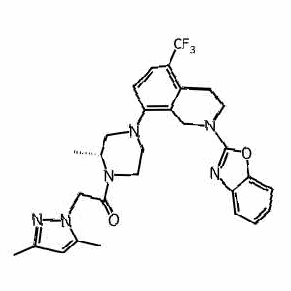 Cc1cc(C)n(CC(=O)N2CCN(c3ccc(C(F)(F)F)c4c3CN(c3nc5ccccc5o3)CC4)C[C@H]2C)n1